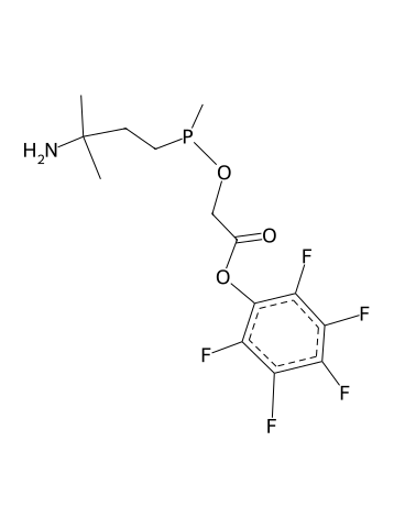 CP(CCC(C)(C)N)OCC(=O)Oc1c(F)c(F)c(F)c(F)c1F